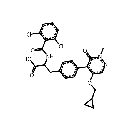 Cn1ncc(OCC2CC2)c(-c2ccc(CC(NC(=O)c3c(Cl)cccc3Cl)C(=O)O)cc2)c1=O